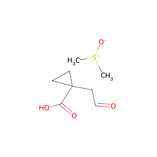 C[S+](C)[O-].O=CCC1(C(=O)O)CC1